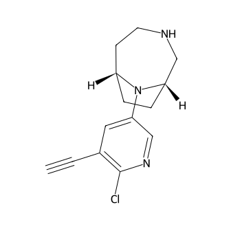 C#Cc1cc(N2[C@H]3CCNC[C@@H]2CC3)cnc1Cl